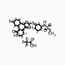 CCS(=O)(=O)Nc1cccc(Sc2nc3c4ccc(F)cc4c4c(=O)[nH]ccc4c3[nH]2)c1.O=C(O)C(F)(F)F